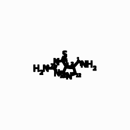 NCC1=C2C(=S)N=C(N)N=C2N=C1